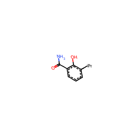 CC(C)c1cccc(C(N)=O)c1O